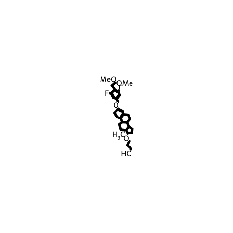 COC(Cc1c(F)cc(COc2ccc3c(c2)CCC2C3CC[C@@]3(C)C2CC[C@@H]3OCCCO)cc1F)OC